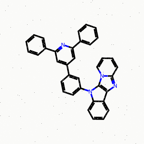 c1ccc(-c2cc(-c3cccc(-n4c5ccccc5c5nc6ccccn6c54)c3)cc(-c3ccccc3)n2)cc1